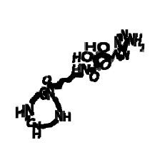 Nc1ncnc2c1ncn2[C@@H]1O[C@H](C(=O)NCCCCCC(=O)N2CCCNCCNCCCNCC2)[C@@H](O)[C@H]1O